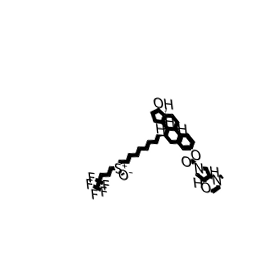 CN1CCO[C@H]2CN(C(=O)Oc3ccc4c(c3)C[C@@H](CCCCCCCCC[S+]([O-])CCCC(F)(F)C(F)(F)F)[C@@H]3[C@@H]4CC[C@]4(C)[C@@H](O)CC[C@@H]34)C[C@H]21